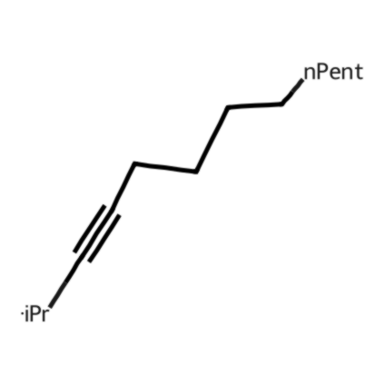 [CH2]CCCCCCCCC#C[C](C)C